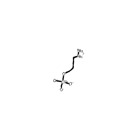 NNCCO[Cl+3]([O-])([O-])[O-]